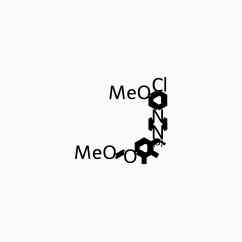 COCCOc1ccc([C@H](C)N2CCN(c3ccc(Cl)c(OC)c3)CC2)c(C)c1C